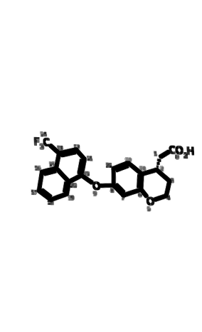 O=C(O)C[C@@H]1CCOc2cc(Oc3ccc(C(F)(F)F)c4ccccc34)ccc21